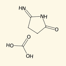 N=C1CCC(=O)N1.O=C(O)O